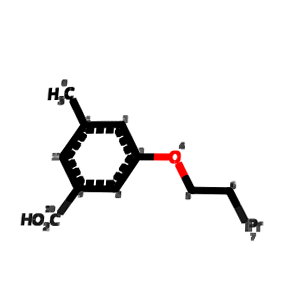 Cc1cc(OCCC(C)C)cc(C(=O)O)c1